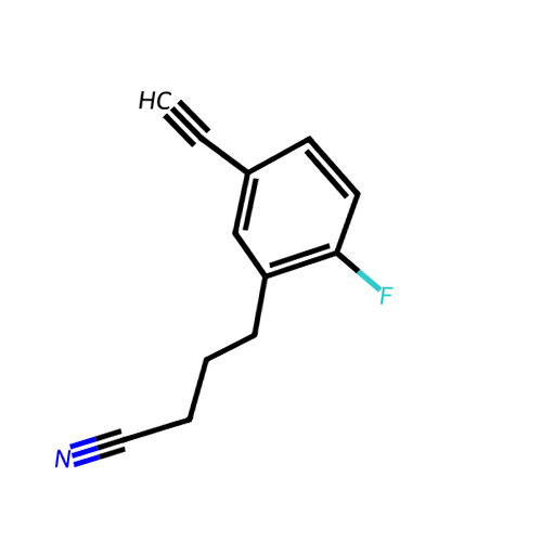 C#Cc1ccc(F)c(CCCC#N)c1